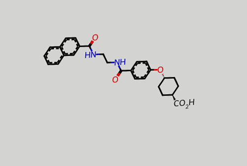 O=C(NCCNC(=O)c1ccc2ccccc2c1)c1ccc(O[C@H]2CC[C@H](C(=O)O)CC2)cc1